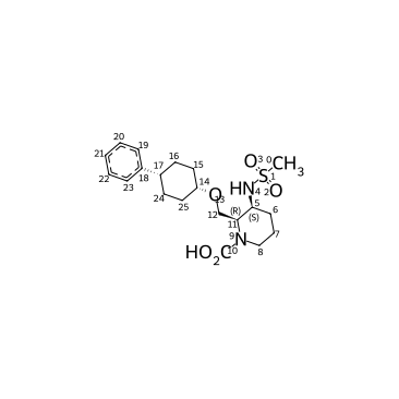 CS(=O)(=O)N[C@H]1CCCN(C(=O)O)[C@H]1CO[C@H]1CC[C@@H](c2ccccc2)CC1